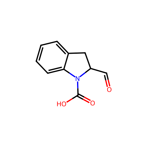 O=CC1Cc2ccccc2N1C(=O)O